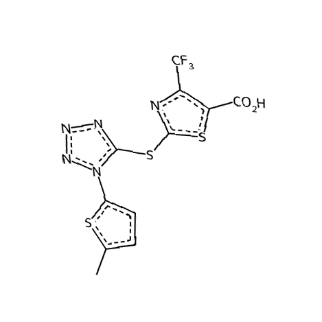 Cc1ccc(-n2nnnc2Sc2nc(C(F)(F)F)c(C(=O)O)s2)s1